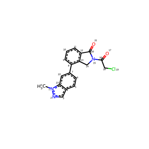 Cn1ncc2ccc(-c3cccc4c3CN(C(=O)CCl)C4=O)cc21